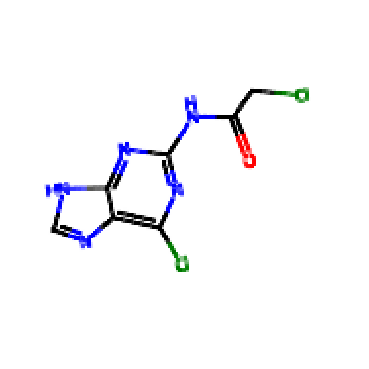 O=C(CCl)Nc1nc(Cl)c2nc[nH]c2n1